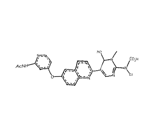 CCN(C(=O)O)C1=NC=C(c2ccc3cc(Oc4ccnc(NC(C)=O)c4)ccc3n2)C(O)N1C